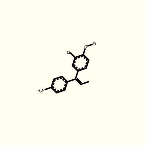 CC=C(c1ccc(N)cc1)c1ccc(OCC)c(Cl)c1